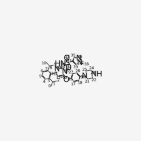 CC(C)c1cccc(C(C)C)c1-c1cc(Oc2ccc(N3CCNCC3)cc2)nc(NS(=O)(=O)c2cnn(C)c2)n1